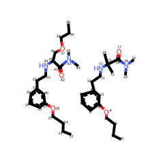 CCCCOc1cccc(CCNC(C)(C)C(=O)N(C)C)c1.CCCCOc1cccc(CCNC(COCCC)C(=O)N(C)C)c1